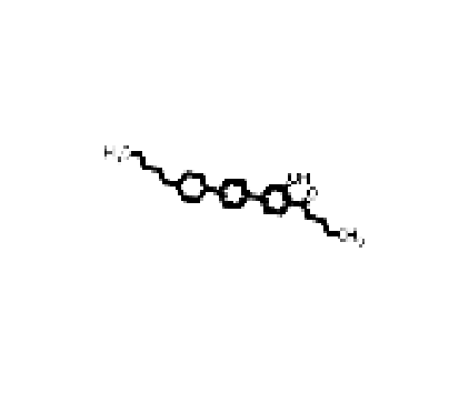 CCCCCC1CCC(c2ccc(-c3ccc(C(=O)CCCC)c(O)c3)cc2)CC1